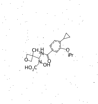 CC(C)Oc1cc(C(=O)NC(N(O)C(=O)O)C2(C)COC2)ccc1C1CC1